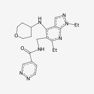 CCc1nc2c(cnn2CC)c(NC2CCOCC2)c1CNC(=O)c1ccnnc1